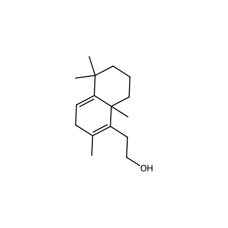 CC1=C(CCO)C2(C)CCCC(C)(C)C2=CC1